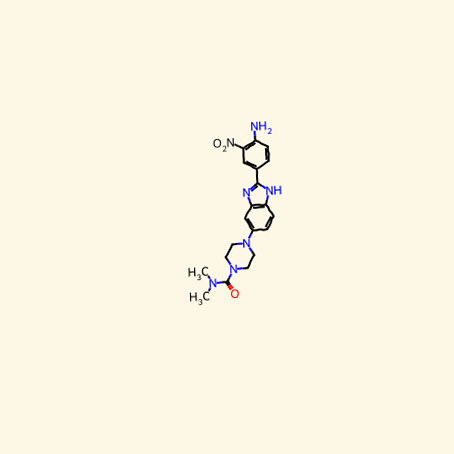 CN(C)C(=O)N1CCN(c2ccc3[nH]c(-c4ccc(N)c([N+](=O)[O-])c4)nc3c2)CC1